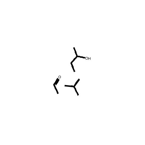 CC(C)C.CC=O.CCC(C)O